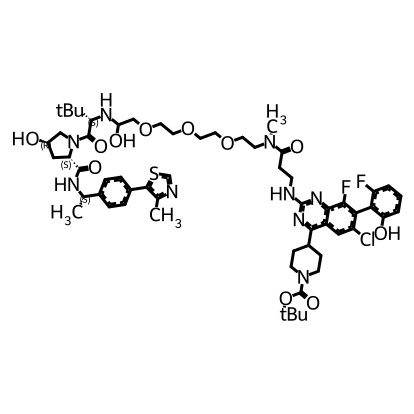 Cc1ncsc1-c1ccc([C@H](C)NC(=O)[C@@H]2C[C@@H](O)CN2C(=O)[C@@H](NC(O)COCCOCCOCCN(C)C(=O)CCNc2nc(C3CCN(C(=O)OC(C)(C)C)CC3)c3cc(Cl)c(-c4c(O)cccc4F)c(F)c3n2)C(C)(C)C)cc1